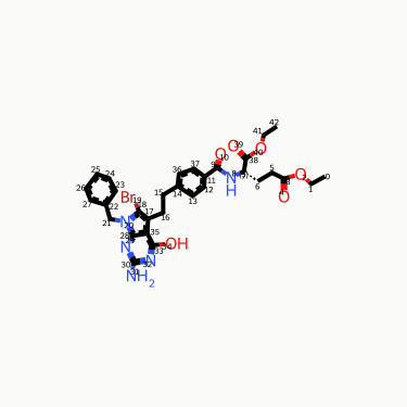 CCOC(=O)CC[C@H](NC(=O)c1ccc(CCc2c(Br)n(Cc3ccccc3)c3nc(N)nc(O)c23)cc1)C(=O)OCC